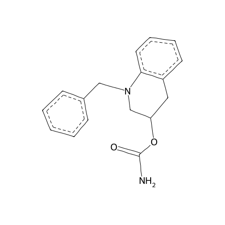 NC(=O)OC1Cc2ccccc2N(Cc2ccccc2)C1